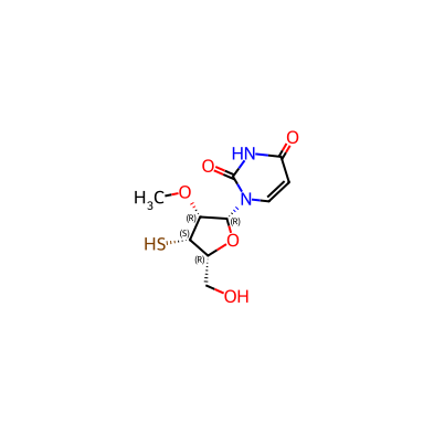 CO[C@H]1[C@@H](S)[C@@H](CO)O[C@H]1n1ccc(=O)[nH]c1=O